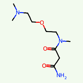 CN(C)CCOCCN(C)C(=O)CC(N)=O